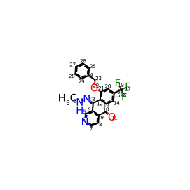 CN/N=C(\c1cnccc1C=O)c1ccc(C(F)(F)F)cc1OCc1ccccc1